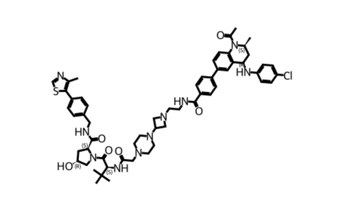 CC(=O)N1c2ccc(-c3ccc(C(=O)NCCN4CC(N5CCN(CC(=O)N[C@H](C(=O)N6C[C@H](O)C[C@H]6C(=O)NCc6ccc(-c7scnc7C)cc6)C(C)(C)C)CC5)C4)cc3)cc2[C@H](Nc2ccc(Cl)cc2)C[C@@H]1C